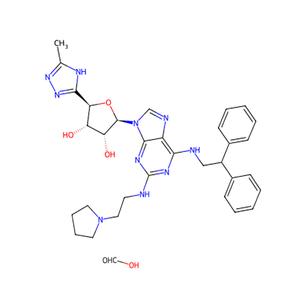 Cc1nnc([C@H]2O[C@@H](n3cnc4c(NCC(c5ccccc5)c5ccccc5)nc(NCCN5CCCC5)nc43)[C@H](O)[C@@H]2O)[nH]1.O=CO